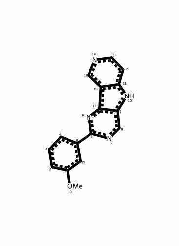 COc1cccc(-c2ncc3[nH]c4ccncc4c3n2)c1